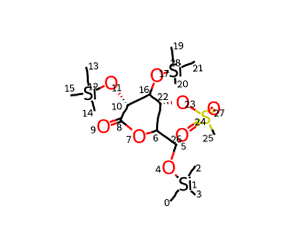 C[Si](C)(C)OCC1OC(=O)[C@H](O[Si](C)(C)C)C(O[Si](C)(C)C)[C@@H]1OS(C)(=O)=O